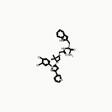 CC1(C)[C@@H](CC(=O)N[C@@H](Cc2cc3ccccc3[nH]2)C(N)=O)C[C@@H]1c1cc(-c2cccnc2)nn1-c1ccc(Cl)c(Cl)c1